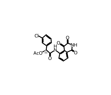 CC(=O)O[C@H](C(=O)Nc1cccc2c1C(=O)C(=O)NC2=O)c1cccc(Cl)c1